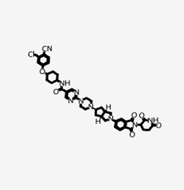 N#Cc1ccc(OC2CCC(NC(=O)c3cnc(N4CCN([C@H]5C[C@@H]6CN(c7ccc8c(c7)C(=O)N(C7CCC(=O)NC7=O)C8=O)C[C@@H]6C5)CC4)nc3)CC2)cc1Cl